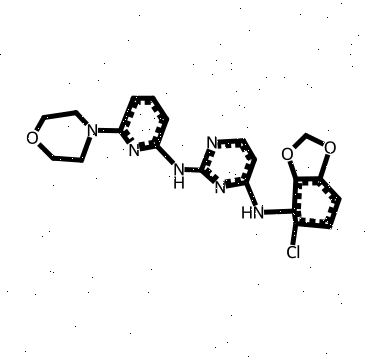 Clc1ccc2c(c1Nc1ccnc(Nc3cccc(N4CCOCC4)n3)n1)OCO2